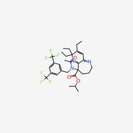 CCC1=CC2=NCCCC(C(=O)OC(C)C)(N(Cc3cc(C(F)(F)F)cc(C(F)(F)F)c3)C(C)=O)C2=NC1(CC)CC